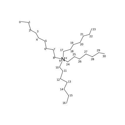 CCCCCCCCC[N+](CCCCCCC)(CCCCCCC)CCCCCCC